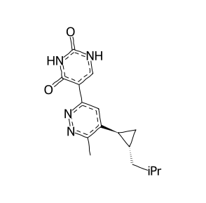 Cc1nnc(-c2c[nH]c(=O)[nH]c2=O)cc1[C@H]1C[C@@H]1CC(C)C